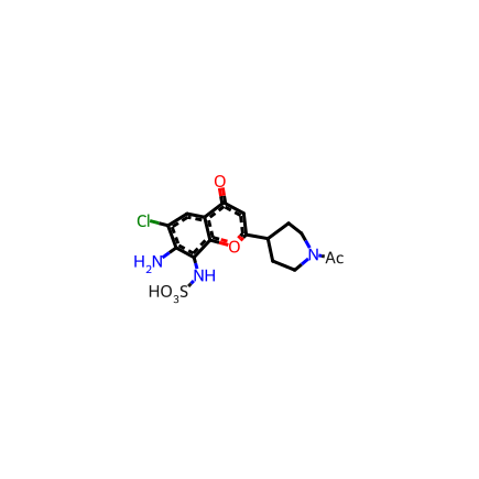 CC(=O)N1CCC(c2cc(=O)c3cc(Cl)c(N)c(NS(=O)(=O)O)c3o2)CC1